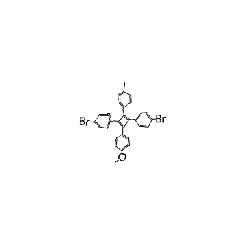 COc1ccc(C2=C(c3ccc(Br)cc3)C(c3ccc(C)cc3)=C2c2ccc(Br)cc2)cc1